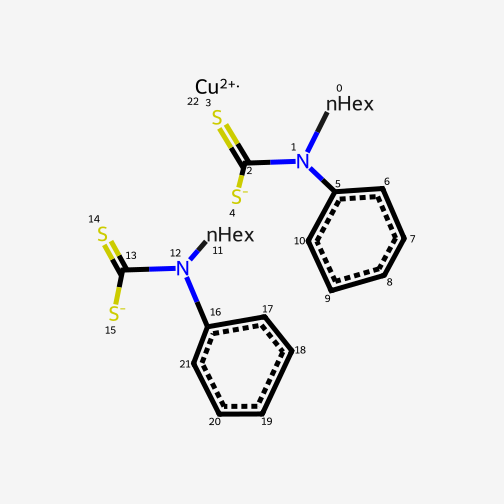 CCCCCCN(C(=S)[S-])c1ccccc1.CCCCCCN(C(=S)[S-])c1ccccc1.[Cu+2]